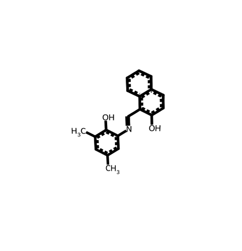 Cc1cc(C)c(O)c(/N=C/c2c(O)ccc3ccccc23)c1